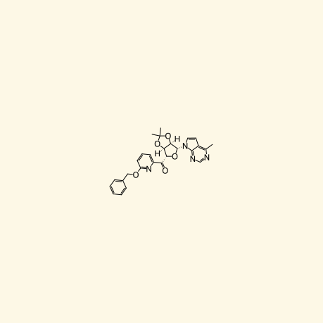 Cc1ncnc2c1ccn2[C@@H]1O[C@H](C(=O)c2cccc(OCc3ccccc3)n2)[C@H]2OC(C)(C)O[C@H]21